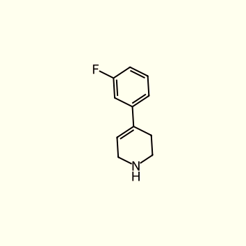 Fc1cccc(C2=CCNCC2)c1